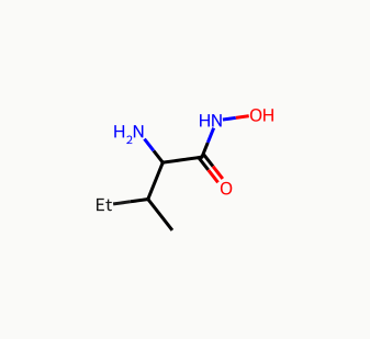 CCC(C)C(N)C(=O)NO